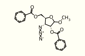 COC1O[C@H](COC(=O)c2ccccc2)[C@@H](N=[N+]=[N-])[C@H]1OC(=O)c1ccccc1